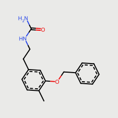 Cc1ccc(CCNC(N)=O)cc1OCc1ccccc1